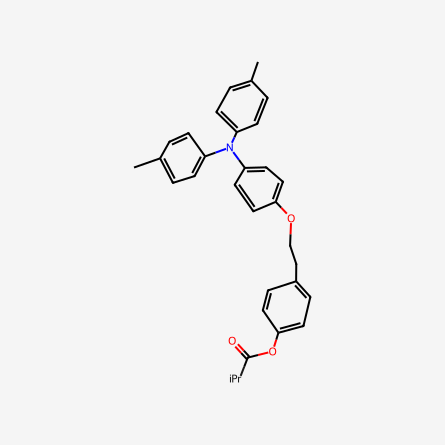 Cc1ccc(N(c2ccc(C)cc2)c2ccc(OCCc3ccc(OC(=O)C(C)C)cc3)cc2)cc1